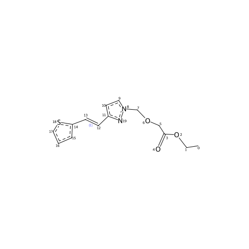 CCOC(=O)COCn1ccc(/C=C/c2cccs2)n1